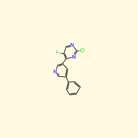 Fc1cnc(Cl)nc1-c1cncc(-c2ccccc2)c1